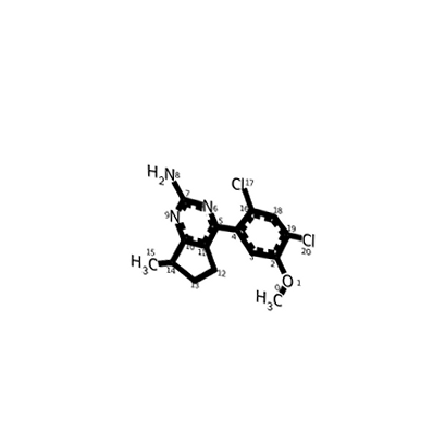 COc1cc(-c2nc(N)nc3c2CCC3C)c(Cl)cc1Cl